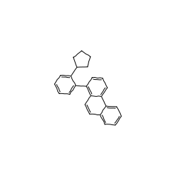 c1ccc(C2CCCC2)c(-c2cccc3c2ccc2ccccc23)c1